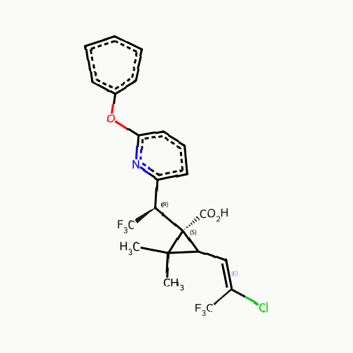 CC1(C)C(/C=C(/Cl)C(F)(F)F)[C@]1(C(=O)O)[C@H](c1cccc(Oc2ccccc2)n1)C(F)(F)F